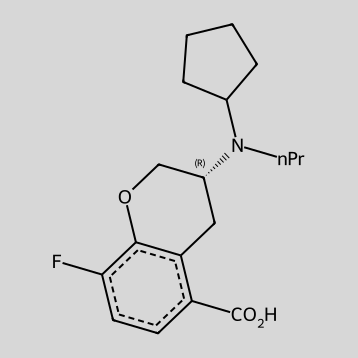 CCCN(C1CCCC1)[C@H]1COc2c(F)ccc(C(=O)O)c2C1